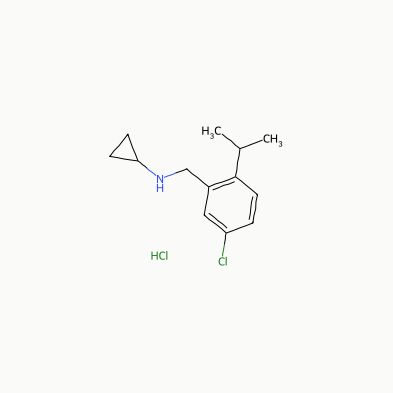 CC(C)c1ccc(Cl)cc1CNC1CC1.Cl